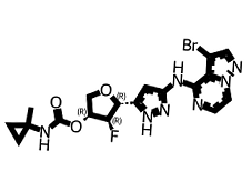 CC1(NC(=O)O[C@@H]2CO[C@H](c3cc(Nc4nccn5ncc(Br)c45)n[nH]3)[C@H]2F)CC1